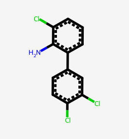 Nc1c(Cl)cccc1-c1ccc(Cl)c(Cl)c1